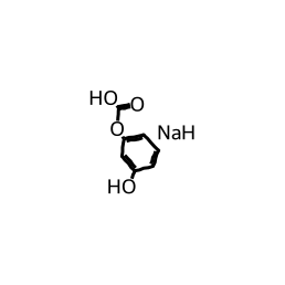 O=C(O)Oc1cccc(O)c1.[NaH]